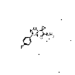 NC(=O)C1(c2nc(-c3ccc(F)cc3)no2)CC1